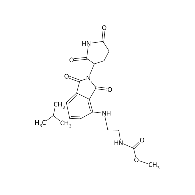 CC(C)C.COC(=O)NCCNc1cccc2c1C(=O)N(C1CCC(=O)NC1=O)C2=O